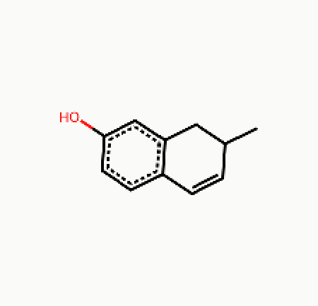 CC1C=Cc2ccc(O)cc2C1